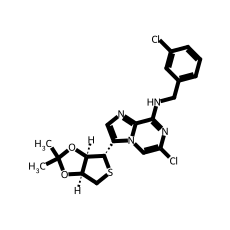 CC1(C)O[C@@H]2[C@@H](CS[C@H]2c2cnc3c(NCc4cccc(Cl)c4)nc(Cl)cn23)O1